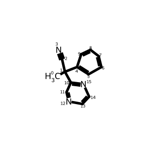 CC(C#N)(c1ccccc1)c1cnccn1